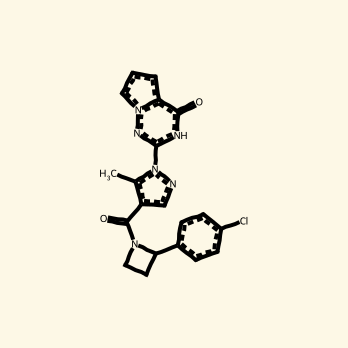 Cc1c(C(=O)N2CCC2c2ccc(Cl)cc2)cnn1-c1nn2cccc2c(=O)[nH]1